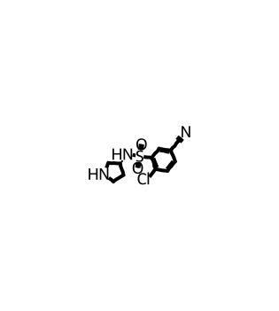 N#Cc1ccc(Cl)c(S(=O)(=O)N[C@@H]2CCNC2)c1